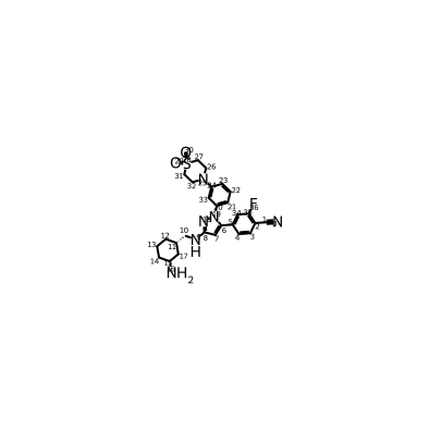 N#Cc1ccc(-c2cc(NC[C@H]3CCC[C@H](N)C3)nn2-c2cccc(N3CCS(=O)(=O)CC3)c2)cc1F